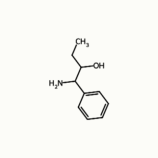 CCC(O)C(N)c1ccccc1